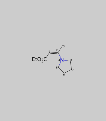 CCOC(=O)/C=C(/C)N1CCCC1